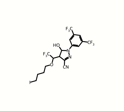 N#CC1=NN(c2cc(C(F)(F)F)cc(C(F)(F)F)c2)C(O)C1C(OCCCCI)C(F)(F)F